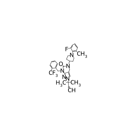 C#CC(C)(C)n1cc2c(n1)N(Cc1ccccc1C(F)(F)F)C(=O)N(C1CCN(c3c(C)cccc3F)CC1)C2